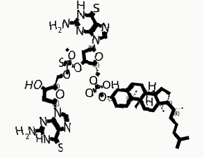 COP(=S)(OC[C@H]1O[C@@H](n2cnc3c(=S)[nH]c(N)nc32)CC1O)OC1C[C@H](n2cnc3c(=S)[nH]c(N)nc32)O[C@@H]1COP(=O)(O)O[C@H]1CC[C@@]2(C)C(=CC[C@H]3[C@@H]4CC[C@H]([C@H](C)CCCC(C)C)[C@@]4(C)CC[C@@]32C)C1